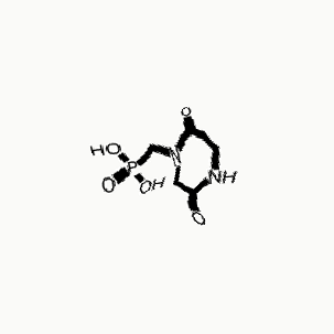 O=C1CN(CP(=O)(O)O)C(=O)CN1